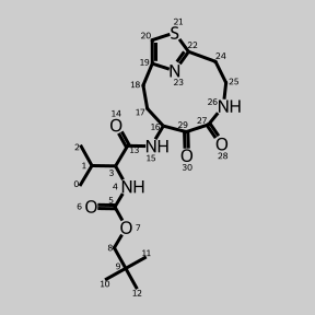 CC(C)C(NC(=O)OCC(C)(C)C)C(=O)NC1CCc2csc(n2)CCNC(=O)C1=O